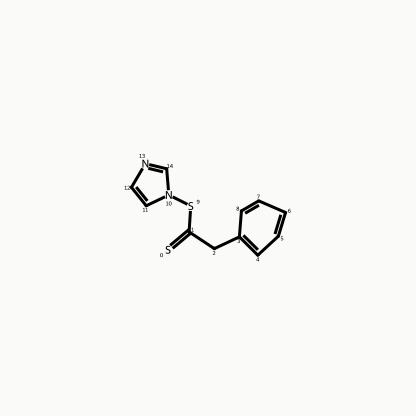 S=C(Cc1ccccc1)Sn1ccnc1